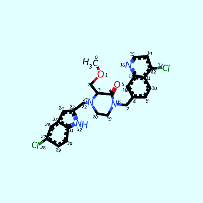 COCC1C(=O)N(Cc2ccc3c(Cl)ccnc3c2)CCN1Cc1cc2cc(Cl)ccc2[nH]1